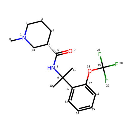 CN1CCC[C@H](C(=O)NC(C)(C)c2ccccc2OC(F)(F)F)C1